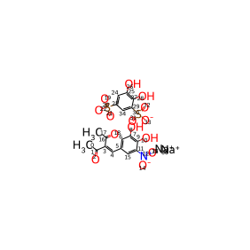 CC(=O)C(=Cc1cc(O)c(O)c([N+](=O)[O-])c1)C(C)=O.O=S(=O)([O-])c1cc(O)c(O)c(S(=O)(=O)[O-])c1.[Na+].[Na+]